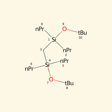 CCC[Si](CCC)(C[Si](CCC)(CCC)OC(C)(C)C)OC(C)(C)C